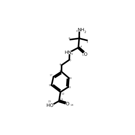 CC(C)(N)C(=O)NCCc1ccc(C(=O)O)cc1